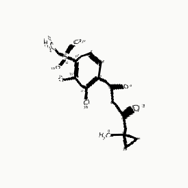 CC1(C(=O)CC(=O)c2ccc(S(C)(=O)=O)c(Cl)c2Cl)CC1